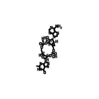 Cc1nc2c(nnn2[C@@H]2O[C@@H]3COP(=O)(S)O[C@H]4[C@@H](O)[C@H](n5cnc6c(N)ncnc65)[C@H]5CC54COP(=O)(O)O[C@@H]2C3)c(=O)[nH]1